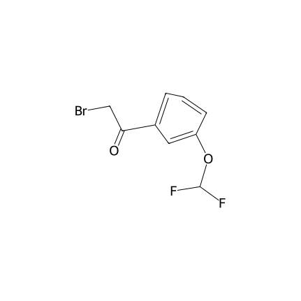 O=C(CBr)c1cccc(OC(F)F)c1